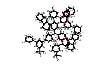 Cc1cc(-c2cccc3c2oc2ccccc23)c(-c2ccc3c(c2)N(c2cc(-c4ccccc4)cc(-c4ccccc4)c2)c2cc(-n4c5ccccc5c5ccccc54)cc4c2C3c2ccc(-c3cc(-c5ccccc5)cc(C(C)(C)C)c3)cc2N4c2ccc(C(C)(C)C)cc2-c2ccccc2)c(-n2c3ccccc3c3ccccc32)c1